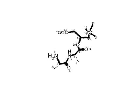 C[C@H](N)C(=O)N[C@@H](C)C(=O)OC(CC(=O)[O-])C[N+](C)(C)C